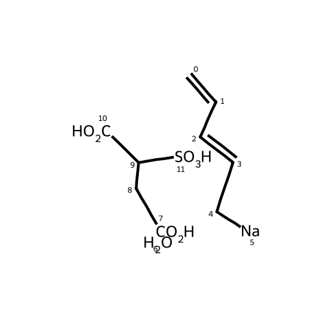 C=CC=C[CH2][Na].O.O=C(O)CC(C(=O)O)S(=O)(=O)O